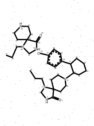 CCCN1CNC(=O)C12CCN(C1CCCCC1c1ccc(Cl)cc1)CC2.CCCN1CNC(=O)C12CCNCC2